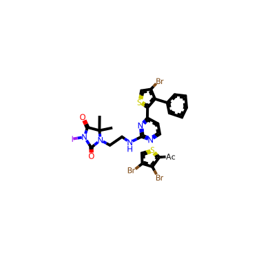 CC(=O)c1scc(Br)c1Br.CC1(C)C(=O)N(I)C(=O)N1CCNc1nccc(-c2scc(Br)c2-c2ccccc2)n1